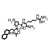 CC(=O)NC(Cc1ccc2ccccc2c1)C(=O)N1C[C@@H](N)C[C@H]1C(=O)N[C@@H](CCCCNC(=N)N)C(N)=O